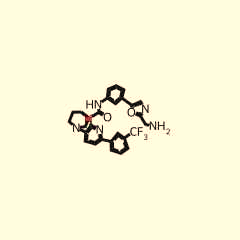 NCc1ncc(-c2cccc(NC(=O)N3c4nc(-c5cccc(C(F)(F)F)c5)ccc4N4CCC3CC4)c2)o1